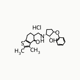 Cc1sc2c(c1C)C(=O)C(CN[C@@H]1CC[C@@H](Oc3ccccc3)[C@@H]1O)CC2.Cl